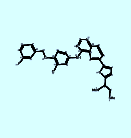 CNC(CSC)c1ccc(-c2ccc3ncnc(Nc4ccc(OCc5cccc(F)c5)c(Cl)c4)c3c2)o1